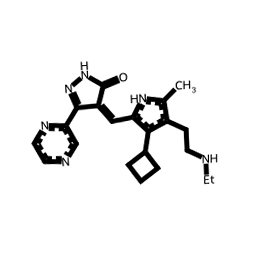 CCNCCc1c(C)[nH]c(C=C2C(=O)NN=C2c2cnccn2)c1C1CCC1